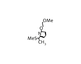 COCCOc1cccc(C(C)SC)n1